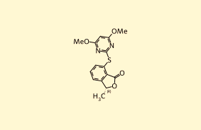 COc1cc(OC)nc(Sc2cccc3c2C(=O)O[C@@H]3C)n1